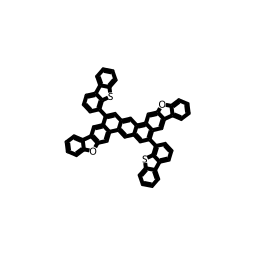 c1ccc2c(c1)oc1cc3c(cc12)c(-c1cccc2c1sc1ccccc12)cc1cc2c(cc(-c4cccc5c4sc4ccccc45)c4cc5c(cc42)oc2ccccc25)cc13